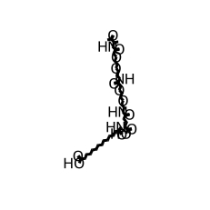 CC(=O)C(C)NC(=O)COCCOCCNC(=O)COCCOCCNC(=O)CCC(NC(=O)CCCCCCCCCCCCC(=O)O)C(=O)O